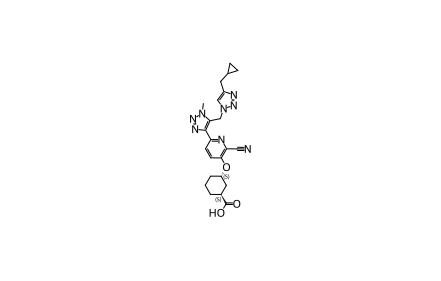 Cn1nnc(-c2ccc(O[C@H]3CCC[C@H](C(=O)O)C3)c(C#N)n2)c1Cn1cc(CC2CC2)nn1